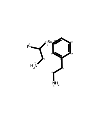 CCCCC(CC)CN.NCCc1ccccc1